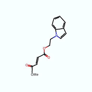 COC(=O)/C=C/C(=O)OCCn1ccc2ccccc21